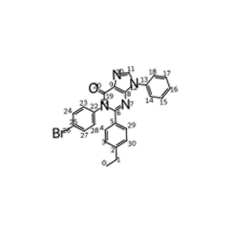 CCc1ccc(-c2nc3c(ncn3-c3ccccc3)c(=O)n2-c2ccc(Br)cc2)cc1